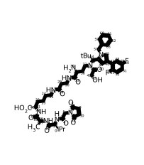 CC(C)[C@H](NC(=O)CN1C(=O)C=CC1=O)C(=O)N[C@@H](C)C(=O)N[C@@H](CCCCNC(=O)CCNC(=O)[C@@H](N)CCN(C(=O)CO)[C@@H](c1cc(-c2cc(F)ccc2F)cn1Cc1ccccc1)C(C)(C)C)C(=O)O